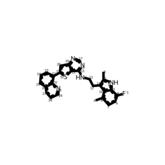 Cc1[nH]c2c(F)ccc(C)c2c1CCNc1ncnc2cc(-c3cccc4cccnc34)sc12